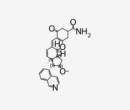 CO[C@@H]1C[C@H]2[C@@H]3OC4=C(C=C3C=C[C@]2(C)[C@H]1c1cccc2cnccc12)C(=O)CC(C(N)=O)C4